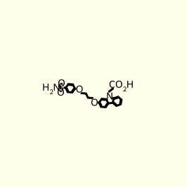 NS(=O)(=O)c1ccc(OCCCCOc2ccc3c4ccccc4n(CCC(=O)O)c3c2)cc1